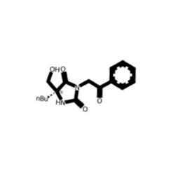 CCCC[C@@]1(CO)NC(=O)N(CC(=O)c2ccccc2)C1=O